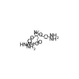 COC(=O)CCc1c(COc2ccc(C(=N)N)cc2)cnc(C)c1OCc1ccc(C(=N)N)cc1